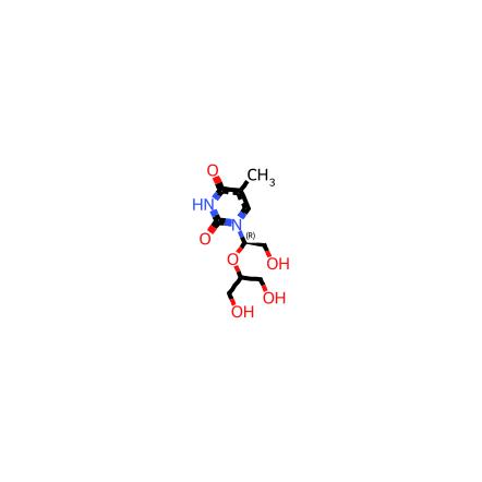 Cc1cn([C@@H](CO)OC(CO)CO)c(=O)[nH]c1=O